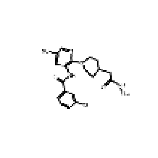 CC(C)(C)NC(=O)CC1CCN(c2ncc(C#N)cc2NC(=O)c2cccc(Cl)c2)CC1